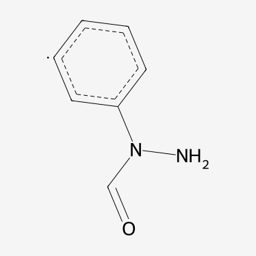 NN(C=O)c1c[c]ccc1